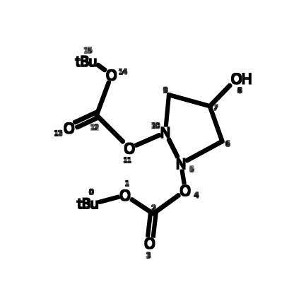 CC(C)(C)OC(=O)ON1CC(O)CN1OC(=O)OC(C)(C)C